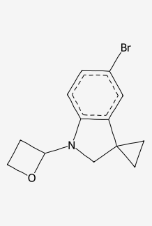 Brc1ccc2c(c1)C1(CC1)CN2C1CCO1